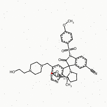 COc1ccc(S(=O)(=O)N2C(=O)C(c3cc(CN4CCN(CCO)CC4)ccc3OC)(N3CCC[C@H]3c3ncco3)c3cc(C#N)ccc32)cc1